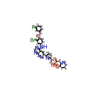 CC(OC(Cc1ccccn1)=S(=O)=O)c1nc(-c2cc3c(Nc4ccc(OCc5cccc(F)c5)c(Br)c4)ncnc3cn2)cs1